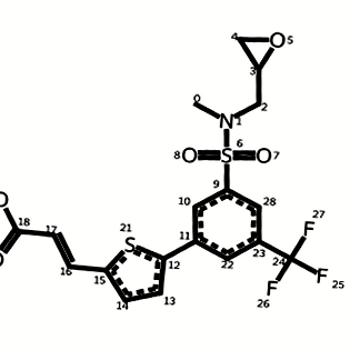 CN(CC1CO1)S(=O)(=O)c1cc(-c2ccc(C=CC(=O)O)s2)cc(C(F)(F)F)c1